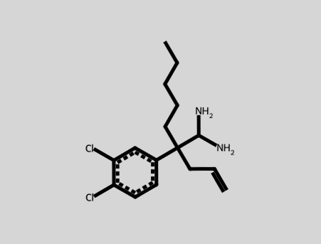 C=CCC(CCCCC)(c1ccc(Cl)c(Cl)c1)C(N)N